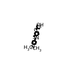 CN(C)c1ccc(-c2nc3ccc(OC(CO)CF)cc3s2)cc1